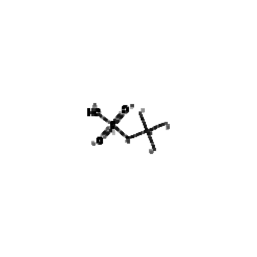 [CH2]C(C)(C)CS(=O)(=O)O